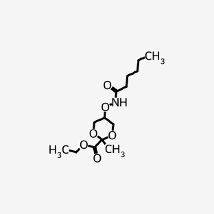 CCCCCC(=O)NOC1COC(C)(C(=O)OCC)OC1